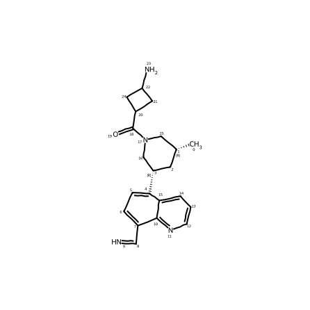 C[C@@H]1C[C@H](c2ccc(C=N)c3ncccc23)CN(C(=O)C2CC(N)C2)C1